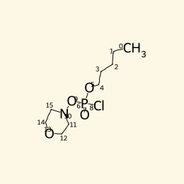 CCCCCOP(=O)(Cl)ON1CCOCC1